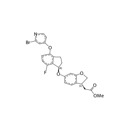 COC(=O)C[C@@H]1COc2cc(O[C@@H]3CCc4c(Oc5ccnc(Br)c5)ccc(F)c43)ccc21